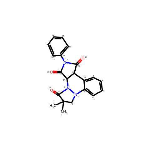 CC1(C)CN2c3ccccc3C3C(=O)N(c4ccccc4)C(=O)C3N2C1=O